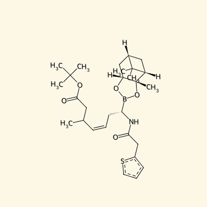 CC(/C=C\C[C@@H](NC(=O)Cc1cccs1)B1O[C@@H]2C[C@@H]3C[C@@H](C3(C)C)[C@]2(C)O1)CC(=O)OC(C)(C)C